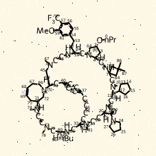 CCCO[C@@H]1C[C@H]2CNC3(CN(C)[C@@H](C4CCCC4)CN(C)[C@H](C(=O)N4CCCC4)CCN(C)[C@H]4CCCCc5ccc(cc5)C[C@@H](CN(C)CCN[C@@H](CCc5ccc(C(F)(F)F)c(OC)c5)CN2C1)N1CC/C=C\C[C@@H](C1)N(C)CCN(C)C[C@H]([C@@H](C)CC)NC4)CC(C)(C)C3